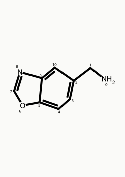 NCc1ccc2ocnc2c1